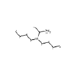 CCCCN(CCCC)C(C)P